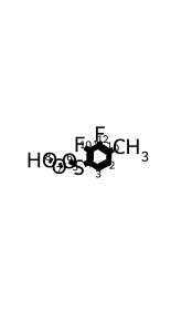 Cc1ccc(SOOO)c(F)c1F